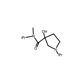 CC(C)N1CCC(O)(C(=O)N(C)C(C)C)C1